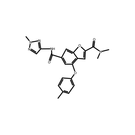 Cc1ccc(Oc2cc(C(=O)Nc3cnn(C)n3)cc3oc(C(=O)N(C)C)cc23)cc1